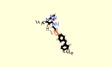 CSc1ccc(Cc2ccc(OCCNc3c(C)c(C)nc4ncnn34)cc2)cc1